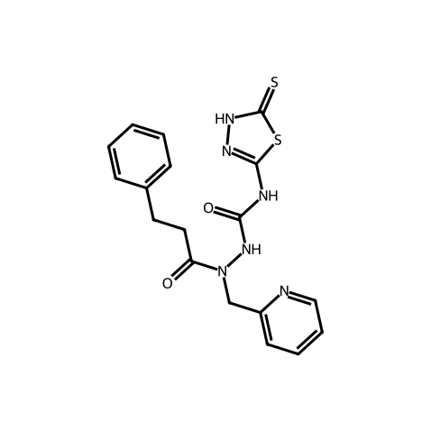 O=C(Nc1n[nH]c(=S)s1)NN(Cc1ccccn1)C(=O)CCc1ccccc1